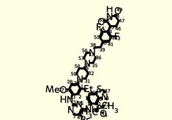 CCc1cc(Nc2ncc(Br)c(Nc3ccc4scnc4c3P(C)(C)=O)n2)c(OC)cc1N1CCC(N2CCN(CCc3cc(F)c(C4CCC(=O)NC4=O)c(F)c3)CC2)CC1